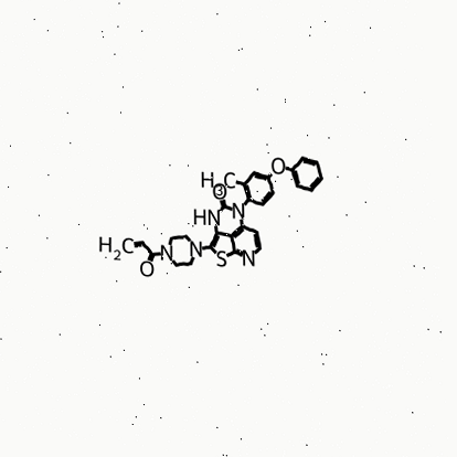 C=CC(=O)N1CCN(c2sc3nccc4c3c2NC(=O)N4c2ccc(Oc3ccccc3)cc2C)CC1